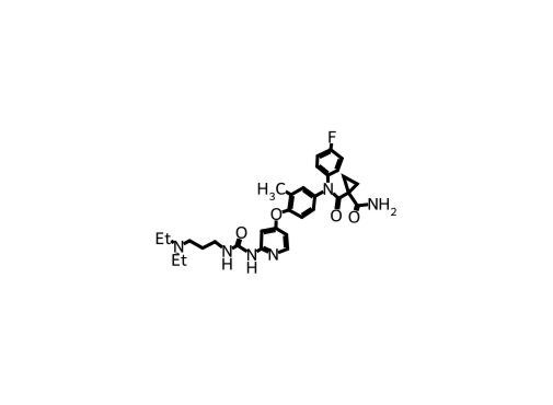 CCN(CC)CCCNC(=O)Nc1cc(Oc2ccc(N(C(=O)C3(C(N)=O)CC3)c3ccc(F)cc3)cc2C)ccn1